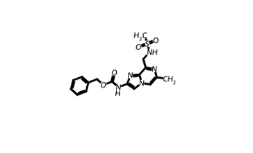 Cc1cn2cc(NC(=O)OCc3ccccc3)nc2c(CNS(C)(=O)=O)n1